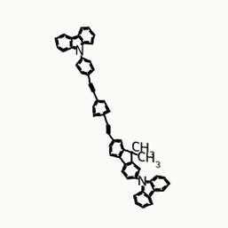 CC1(C)c2cc(C#Cc3ccc(C#Cc4ccc(-n5c6ccccc6c6ccccc65)cc4)cc3)ccc2-c2ccc(-n3c4ccccc4c4ccccc43)cc21